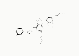 CCCSc1nc(N[C@@H]2C[C@H]2c2ccc(F)c(F)c2)c2nnn([C@@H]3C[C@H](OCCO)[C@H](O)[C@@H]3O)c2n1